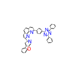 c1ccc(-c2nc(-c3ccccc3)nc(-c3ccc(-c4ccc5ccc6ccc(-c7cc8c(cn7)oc7ccccc78)nc6c5n4)cc3)n2)cc1